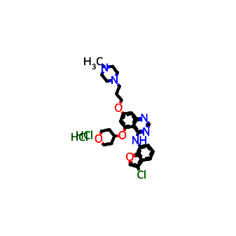 CN1CCN(CCCOc2cc(OC3CCOCC3)c3c(Nc4cccc5c(Cl)coc45)ncnc3c2)CC1.Cl.Cl